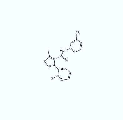 Cc1onc(-c2ccccc2Cl)c1C(=O)Nc1cccc(C(F)(F)F)c1